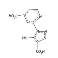 O=C(O)c1ccnc(-n2ncc(C(=O)O)c2O)c1